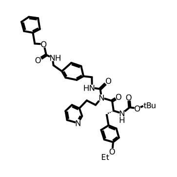 CCOc1ccc(C[C@@H](NC(=O)OC(C)(C)C)C(=O)N(CCc2cccnc2)C(=O)NCc2ccc(CNC(=O)OCc3ccccc3)cc2)cc1